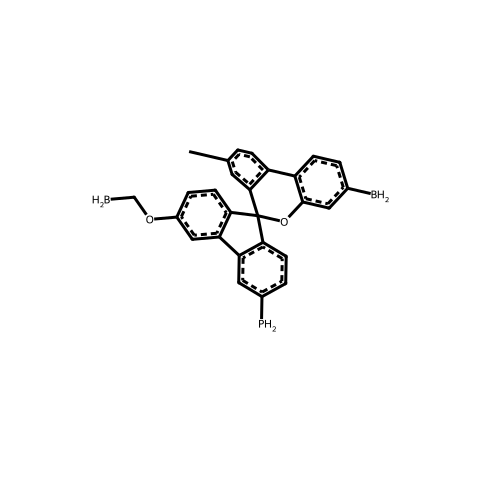 BCOc1ccc2c(c1)-c1cc(P)ccc1C21Oc2cc(B)ccc2-c2ccc(C)cc21